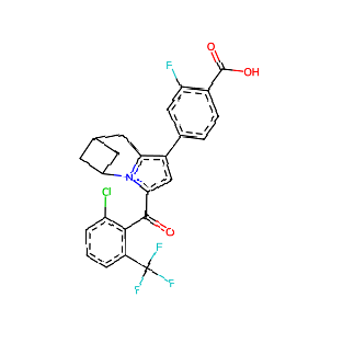 O=C(O)c1ccc(-c2cc(C(=O)c3c(Cl)cccc3C(F)(F)F)n3c2CC2CC3C2)cc1F